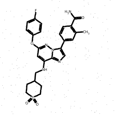 Cc1cc(-c2cnc3c(NCC4CCS(=O)(=O)CC4)cc(Oc4ccc(F)cc4)nn23)ccc1C(N)=O